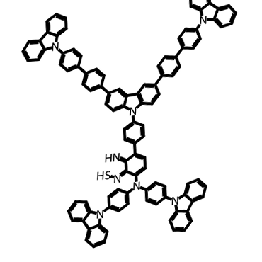 N=C1C(c2ccc(-n3c4ccc(-c5ccc(-c6ccc(-n7c8ccccc8c8ccccc87)cc6)cc5)cc4c4cc(-c5ccc(-c6ccc(-n7c8ccccc8c8ccccc87)cc6)cc5)ccc43)cc2)=CC=C(N(c2ccc(-n3c4ccccc4c4ccccc43)cc2)c2ccc(-n3c4ccccc4c4ccccc43)cc2)/C1=N/S